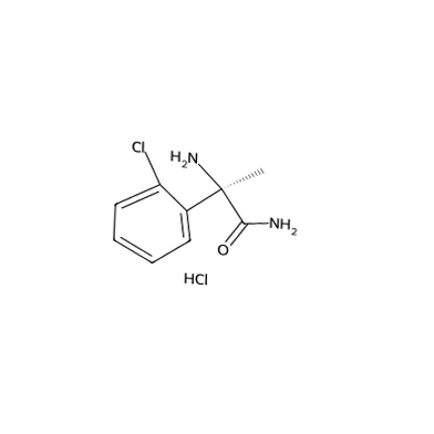 C[C@](N)(C(N)=O)c1ccccc1Cl.Cl